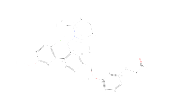 COc1ccc(F)c(-c2ccc(COc3cccc(CCC(=O)O)c3)cc2CN2[C@@H](C)CCC[C@@H]2C)c1